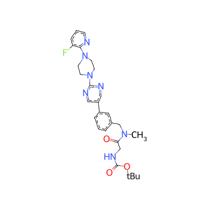 CN(Cc1cccc(-c2cnc(N3CCN(c4ncccc4F)CC3)nc2)c1)C(=O)CNC(=O)OC(C)(C)C